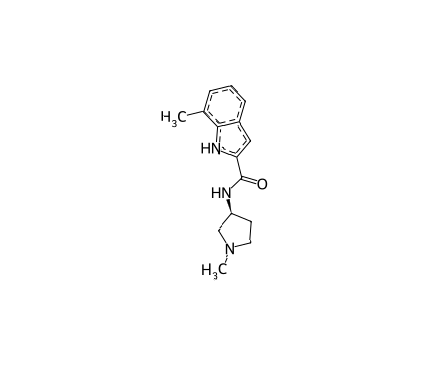 Cc1cccc2cc(C(=O)N[C@H]3CCN(C)C3)[nH]c12